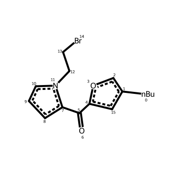 CCCCc1coc(C(=O)c2cccn2CCBr)c1